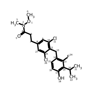 CON(C)C(=O)CCc1cc(Cl)c(Cc2ccc(O)c(C(C)C)c2F)c(Cl)c1